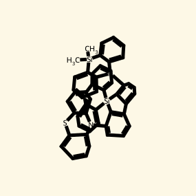 C[Si]1(C)c2ccccc2N(c2cccc3c2[Si]2(c4ccccc4Sc4ccccc42)c2c-3cccc2N2c3ccccc3Sc3ccccc32)c2ccccc21